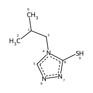 CC(C)Cn1cnnc1S